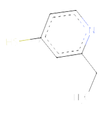 [CH2]Cc1cc(S)ccn1